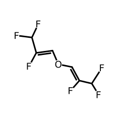 FC(=COC=C(F)C(F)F)C(F)F